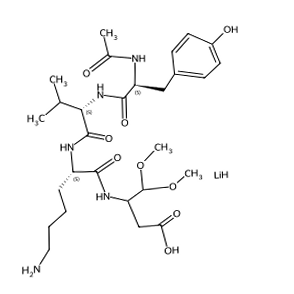 COC(OC)C(CC(=O)O)NC(=O)[C@H](CCCCN)NC(=O)[C@@H](NC(=O)[C@H](Cc1ccc(O)cc1)NC(C)=O)C(C)C.[LiH]